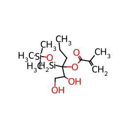 C=C(C)C(=O)OC(CCC)([SiH2]O[Si](C)(C)C)C(O)CO